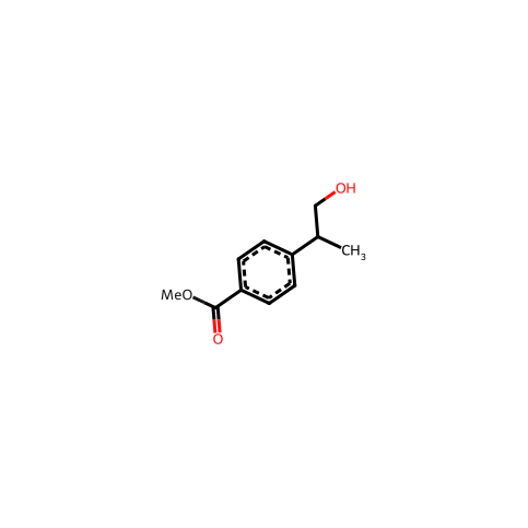 COC(=O)c1ccc(C(C)CO)cc1